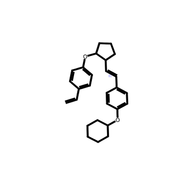 C=Cc1ccc(OC2CCCC2/C=C/c2ccc(OC3CCCCC3)cc2)cc1